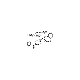 CC1(C(CO)N2CCN(C(=O)c3ccco3)CC2)COc2ccccc2O1.O=C(O)C=CC(=O)O